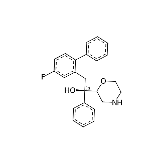 O[C@](Cc1cc(F)ccc1-c1ccccc1)(c1ccccc1)C1CNCCO1